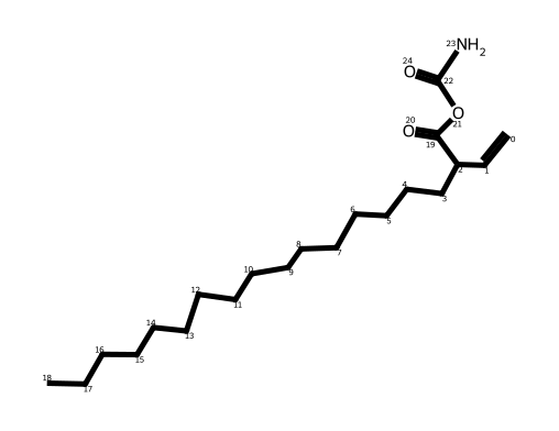 C=CC(CCCCCCCCCCCCCCCC)C(=O)OC(N)=O